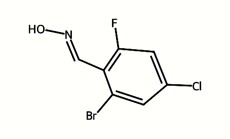 ON=Cc1c(F)cc(Cl)cc1Br